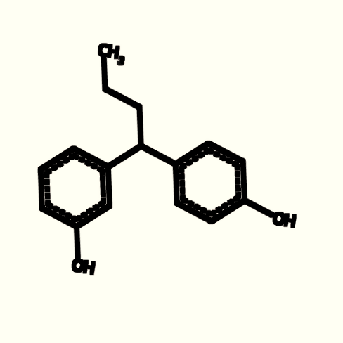 CCCC(c1ccc(O)cc1)c1cccc(O)c1